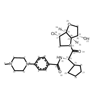 CN1CCN(c2ccc(C(=O)N[C@H](C(=O)N3C[C@H](Cl)[C@H]4OC[C@H](O)[C@H]43)C3CCCC3)cc2)CC1